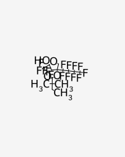 CCC(C)(C)C(=O)OC1(C(F)(F)C(F)(F)C(F)(F)C(F)(F)F)COC(O)(C(F)(F)F)C1(F)F